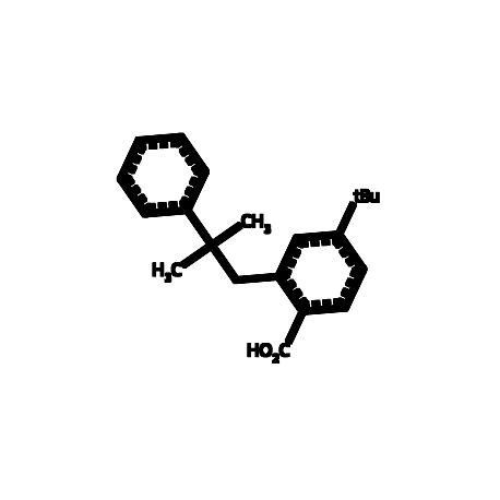 CC(C)(C)c1ccc(C(=O)O)c(CC(C)(C)c2ccccc2)c1